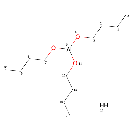 CCCC[O][Al]([O]CCCC)[O]CCCC.[HH]